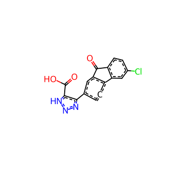 O=C1c2cc(-c3nn[nH]c3C(=O)O)ccc2-c2cc(Cl)ccc21